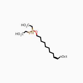 CCCCCCCC/C=C\CCCCCCCCO[SH](CC(=O)O)SCC(=O)O